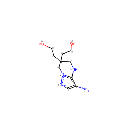 Nc1cnn2c1NCC(CCO)(CCO)C2